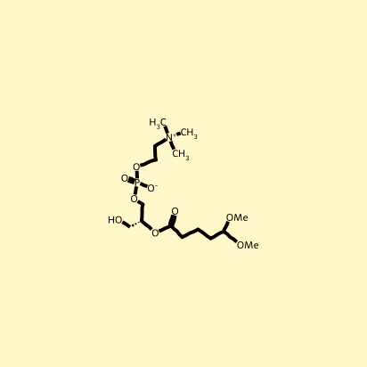 COC(CCCC(=O)O[C@H](CO)COP(=O)([O-])OCC[N+](C)(C)C)OC